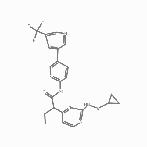 CCC(C(=O)Nc1ccc(-c2cncc(C(F)(F)F)c2)cn1)c1ccnc(NSC2CC2)n1